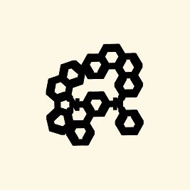 c1ccc(-c2cc(N(c3ccccc3)c3ccc4ccc5ccc6ccccc6c5c4c3)ccc2-n2c3ccccc3c3ccc4ccccc4c32)cc1